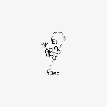 CC/C=C\C/C=C\C/C=C\C/C=C\CCCCC(=O)O[C@H](COCCCCCCCCCCCCCCCC)COP(=O)([O-])OCC[N+](C)(C)C